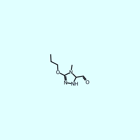 CCCOC1=NNC(C=O)N1C